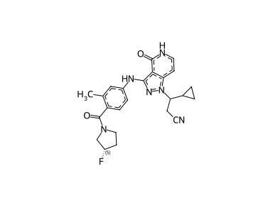 Cc1cc(Nc2nn(C(CC#N)C3CC3)c3cc[nH]c(=O)c23)ccc1C(=O)N1CC[C@H](F)C1